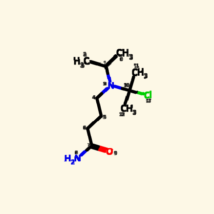 CC(C)N(CCCC(N)=O)C(C)(C)Cl